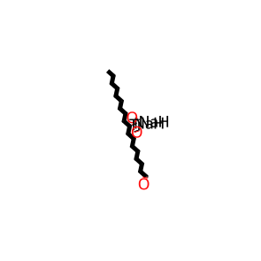 CCCCCCCCCCCCCCCCCC=O.[NaH].[NaH].[O]=[Ti]=[O]